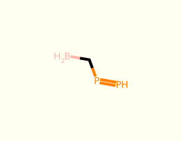 BCP=P